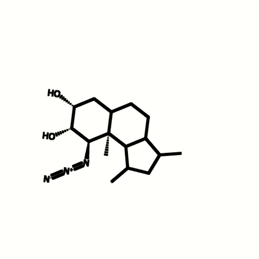 CC1CC(C)C2C1CCC1C[C@@H](O)[C@@H](O)[C@H](N=[N+]=[N-])[C@@]12C